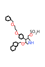 O=S(=O)(O)OCC1CNCC(OCc2ccc3ccccc3c2)C1c1ccc(OCCCOCc2ccccc2)cc1